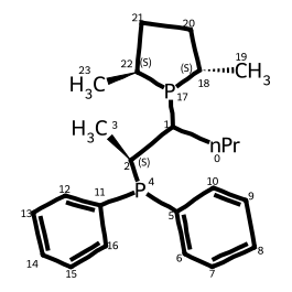 CCCC([C@H](C)P(c1ccccc1)c1ccccc1)P1[C@@H](C)CC[C@@H]1C